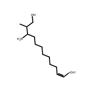 CCCCCCCC/C=C\CCCCCCCC(N)C(C)CO